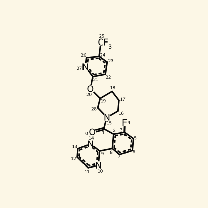 O=C(c1c(F)cccc1-c1ncccn1)N1CCCC(Oc2ccc(C(F)(F)F)cn2)C1